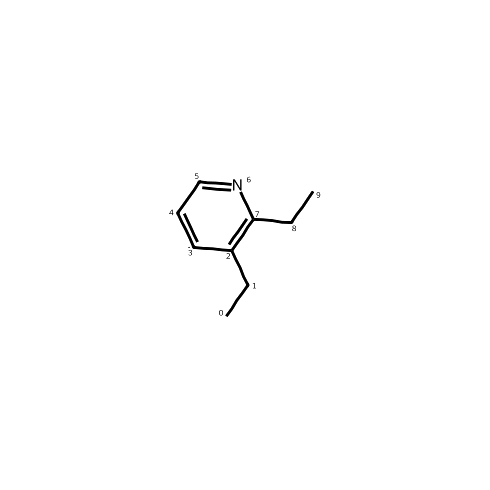 CCc1[c]ccnc1CC